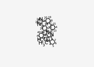 C[Si]1(C)c2ccccc2-c2nc(-c3cccc(-c4cccc(-c5nccnc5-c5ccccc5)c4)c3)nc(-c3ccccc3)c21